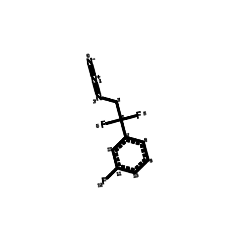 [N-]=[N+]=NCC(F)(F)c1cccc(F)c1